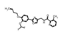 C=CCCOc1ccc(-c2nc(CNC(=O)c3ncccc3C)co2)cc1OC(F)F